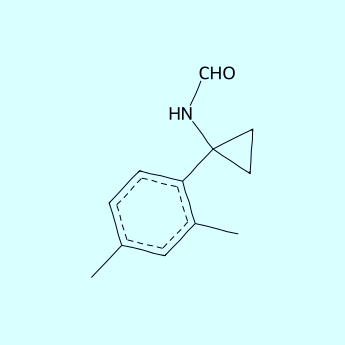 Cc1ccc(C2(NC=O)CC2)c(C)c1